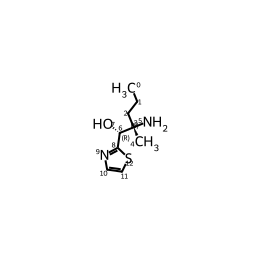 CCC[C@](C)(N)[C@@H](O)c1nccs1